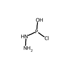 NNP(O)Cl